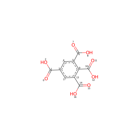 O=C(O)c1[c]c(C(=O)O)c(C(=O)O)c(C(=O)O)c1